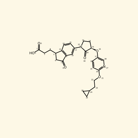 O=C(O)CCC1CC(=O)c2cc(N3CC[C@@H](Oc4ccc(OCCC5CC5)nc4)C3=O)ccc21